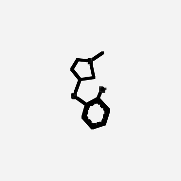 CN1CCC(Oc2ccccc2Br)C1